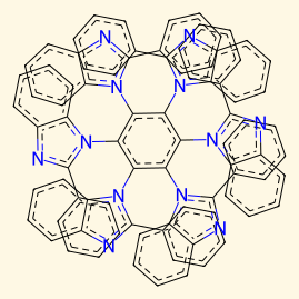 c1ccc(-c2nc3ccccc3n2-c2c(-n3c(-c4ccccc4)nc4ccccc43)c(-n3c(-c4ccccc4)nc4ccccc43)c(-n3c(-c4ccccc4)nc4ccccc43)c(-n3c(-c4ccccc4)nc4ccccc43)c2-n2c(-c3ccccc3)nc3ccccc32)cc1